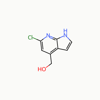 OCc1cc(Cl)nc2[nH]ccc12